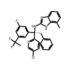 Cc1cccc2nc(N[C@](Cc3ccccc3)(c3cc(F)cc(C(F)(F)F)c3)c3ccc(Cl)cn3)[nH]c12